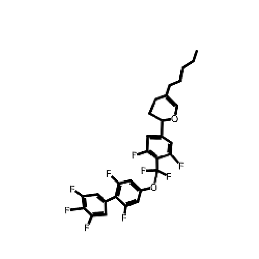 CCCCCC1=COC(c2cc(F)c(C(F)(F)Oc3cc(F)c(-c4cc(F)c(F)c(F)c4)c(F)c3)c(F)c2)CC1